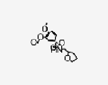 COc1ccc(S(=O)(=O)NCC2CCCO2)cc1OC=O